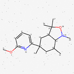 COc1cccc(C2(C)CC(C)C3C(C2)C(C)(C)ON3C)n1